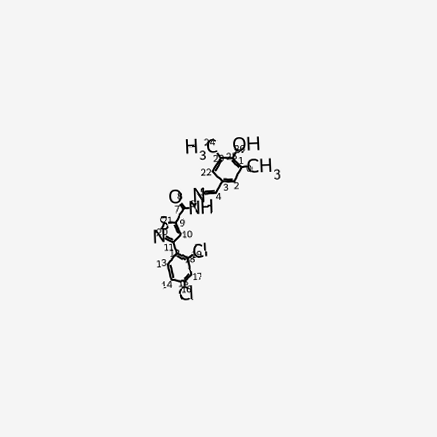 Cc1cc(/C=N/NC(=O)c2cc(-c3ccc(Cl)cc3Cl)ns2)cc(C)c1O